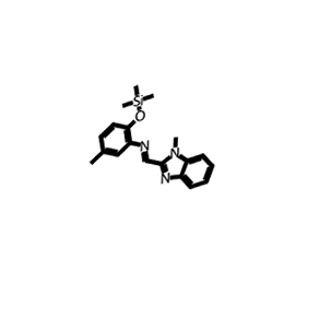 Cc1ccc(O[Si](C)(C)C)c(N=Cc2nc3ccccc3n2C)c1